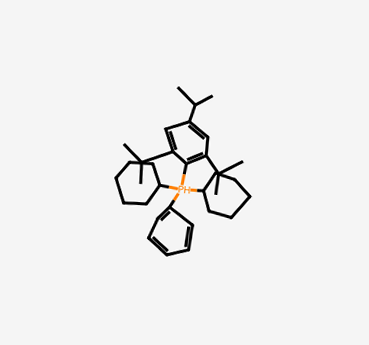 CC(C)c1cc(C(C)C)c([PH](c2ccccc2)(C2CCCCC2)C2CCCCC2)c(C(C)C)c1